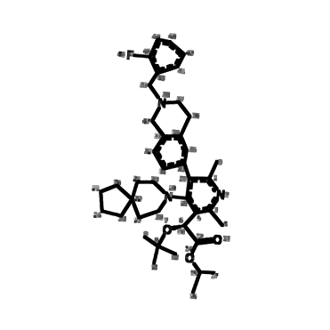 Cc1nc(C)c([C@H](OC(C)(C)C)C(=O)OC(C)C)c(N2CCC3(CCCC3)CC2)c1-c1ccc2c(c1)CCN(Cc1ccccc1F)C2